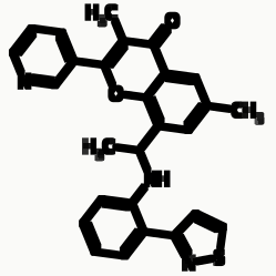 Cc1cc(C(C)Nc2ccccc2-c2ccsn2)c2oc(-c3cccnc3)c(C)c(=O)c2c1